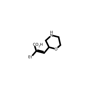 CCC(=CC1CNCCO1)C(=O)O